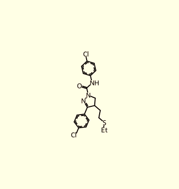 CCSCCC1CN(C(=O)Nc2ccc(Cl)cc2)N=C1c1ccc(Cl)cc1